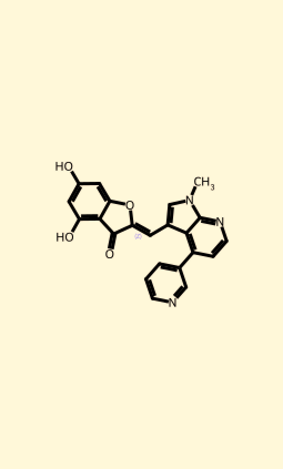 Cn1cc(/C=C2\Oc3cc(O)cc(O)c3C2=O)c2c(-c3cccnc3)ccnc21